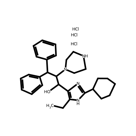 CCc1[nH]c(C2CCCCC2)nc1C(O)C(C(c1ccccc1)c1ccccc1)N1CCNCC1.Cl.Cl.Cl